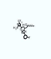 CNC(=O)CC(NC(=O)c1cc(C(F)(F)F)nn1C)c1nc(-c2cccc(F)c2)no1